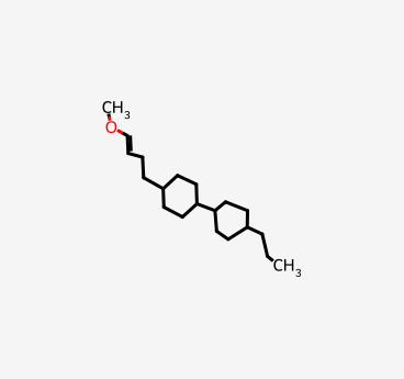 CCCC1CCC(C2CCC(CCC=COC)CC2)CC1